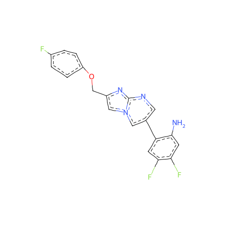 Nc1cc(F)c(F)cc1-c1cnc2nc(COc3ccc(F)cc3)cn2c1